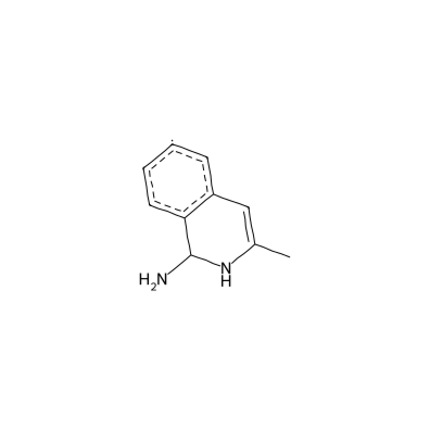 CC1=Cc2c[c]ccc2C(N)N1